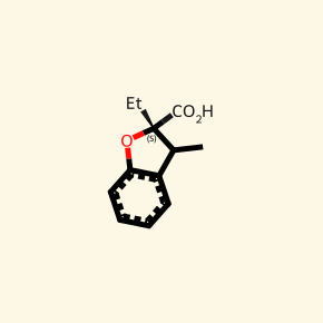 CC[C@]1(C(=O)O)Oc2ccccc2C1C